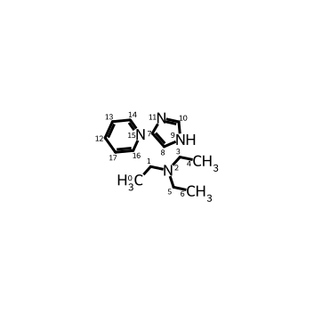 CCN(CC)CC.c1c[nH]cn1.c1ccncc1